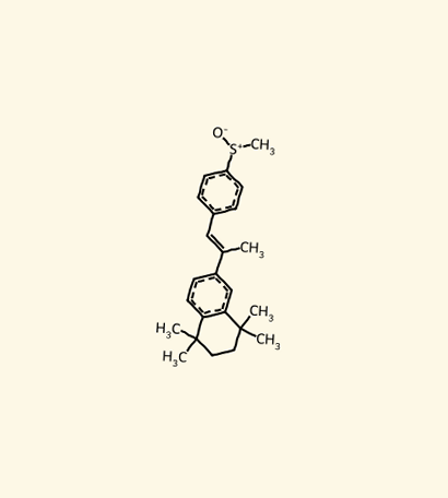 CC(=Cc1ccc([S+](C)[O-])cc1)c1ccc2c(c1)C(C)(C)CCC2(C)C